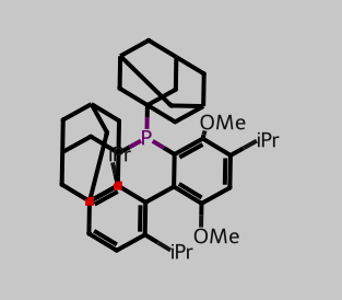 COc1cc(C(C)C)c(OC)c(P(C23CC4CC(CC(C4)C2)C3)C23CC4CC(CC(C4)C2)C3)c1-c1c(C(C)C)cccc1C(C)C